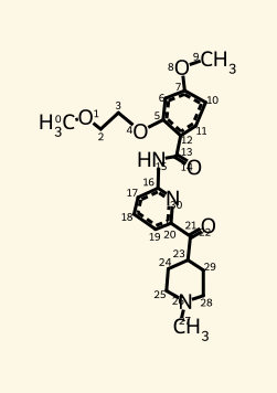 COCCOc1cc(OC)ccc1C(=O)Nc1cccc(C(=O)C2CCN(C)CC2)n1